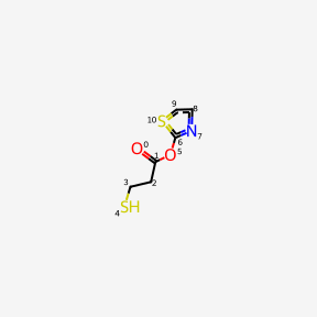 O=C(CCS)Oc1nccs1